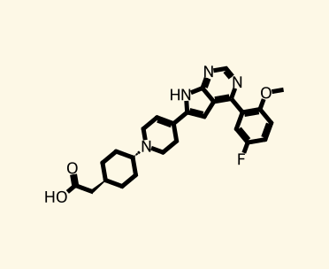 COc1ccc(F)cc1-c1ncnc2[nH]c(C3=CCN([C@H]4CC[C@H](CC(=O)O)CC4)CC3)cc12